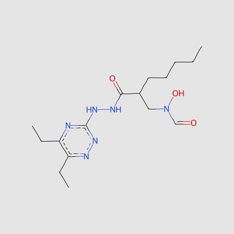 CCCCCC(CN(O)C=O)C(=O)NNc1nnc(CC)c(CC)n1